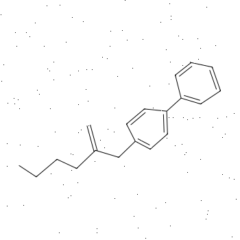 C=C(CCCC)Cc1ccc(-c2ccccc2)cc1